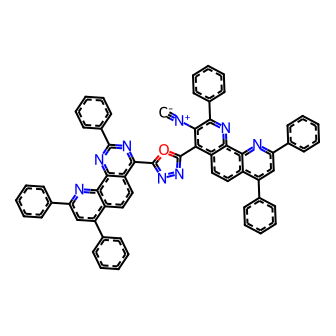 [C-]#[N+]c1c(-c2ccccc2)nc2c(ccc3c(-c4ccccc4)cc(-c4ccccc4)nc32)c1-c1nnc(-c2nc(-c3ccccc3)nc3c2ccc2c(-c4ccccc4)cc(-c4ccccc4)nc23)o1